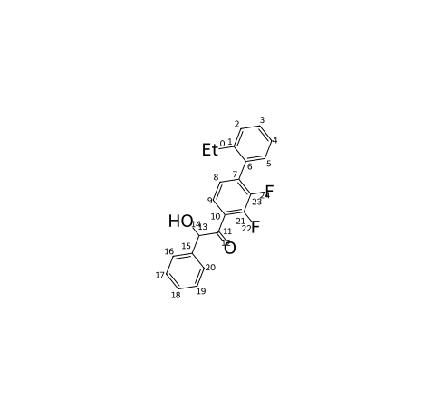 CCc1ccccc1-c1ccc(C(=O)C(O)c2ccccc2)c(F)c1F